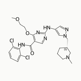 COCCOc1nc(Nc2cnn(C[C@H]3CCCN(C)C3)c2)ncc1C(=O)Nc1c(Cl)cccc1Cl